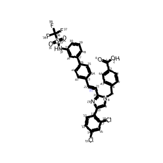 O=C(O)c1ccc(Cn2cc(-c3ccc(Cl)cc3Cl)nc2/C=C/c2ccc(-c3cccc(NS(=O)(=O)C(F)(F)F)c3)cc2)cc1